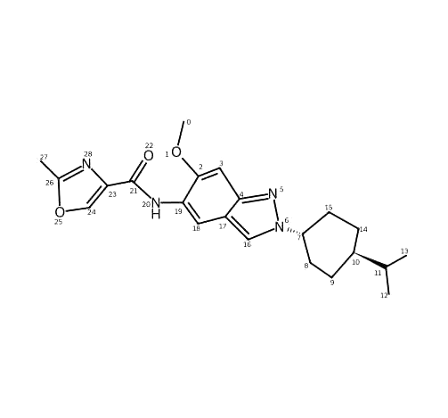 COc1cc2nn([C@H]3CC[C@H](C(C)C)CC3)cc2cc1NC(=O)c1coc(C)n1